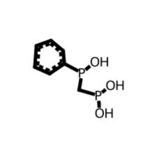 OP(O)CP(O)c1ccccc1